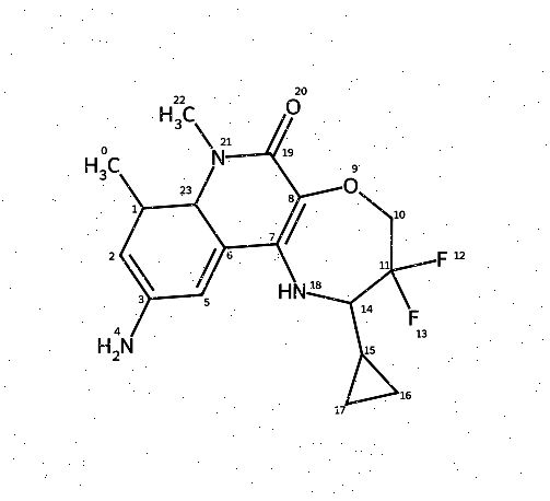 CC1C=C(N)C=C2C3=C(OCC(F)(F)C(C4CC4)N3)C(=O)N(C)C21